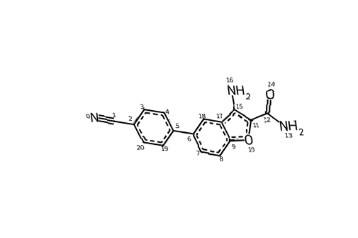 N#Cc1ccc(-c2ccc3oc(C(N)=O)c(N)c3c2)cc1